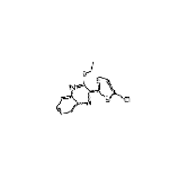 CCOc1nc2ccccc2nc1-c1ccc(Cl)s1